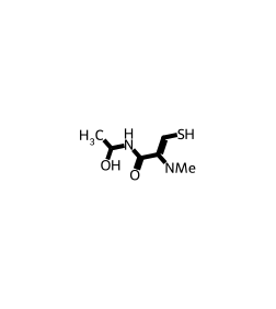 CN/C(=C\S)C(=O)NC(C)O